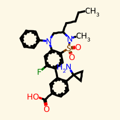 CCCCC1CN(c2ccccc2)c2cc(F)c(-c3cc(C(=O)O)ccc3C3(N)CC3)cc2S(=O)(=O)N1C